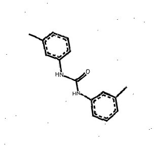 Cc1cccc(NC(=O)Nc2cccc(C)c2)c1